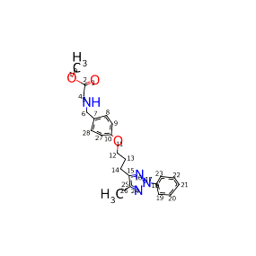 COC(=O)CNCc1ccc(OCCCc2nn(-c3ccccc3)nc2C)cc1